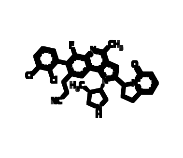 Cc1nc2c(F)c(-c3cccc(Cl)c3Cl)c(CCC#N)cc2c2c1cc(C1CCc3cccc(=O)n31)n2[C@@H]1CNC[C@H]1C